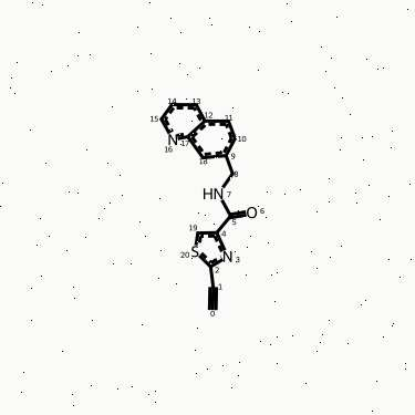 C#Cc1nc(C(=O)NCc2ccc3cccnc3c2)cs1